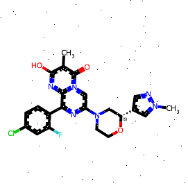 Cc1c(O)nc2c(-c3ccc(Cl)cc3F)nc(N3CCO[C@@H](c4cnn(C)c4)C3)cn2c1=O